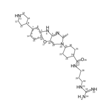 C=C1N=C2Nc3cc(C4CCNCC4)ccc3OC2=CN1C1CCC(C(=O)NCCCNC(=N)N)CC1